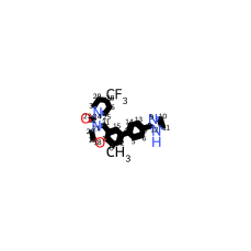 Cc1cc(-c2ccc(-c3ncc[nH]3)cc2)cc2c1OCCN(C(=O)N1CCC(C(F)(F)F)CC1)C2